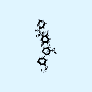 CN(C)[C@H]1C[C@@H](c2cccc(OC(F)(F)F)c2)CC[C@@H]1Oc1cc(F)c(S(=O)(=O)Nc2ccncn2)cc1F